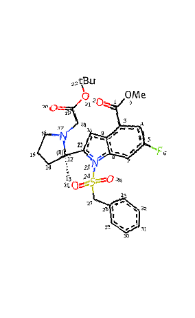 COC(=O)c1cc(F)cc2c1cc([C@@]1(C)CCCN1CC(=O)OC(C)(C)C)n2S(=O)(=O)Cc1ccccc1